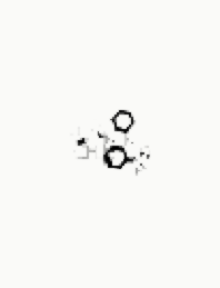 CC(C)(C)OC(=O)N[C@@H]1CCCC[C@H]1Nc1ccccc1[N+](=O)[O-]